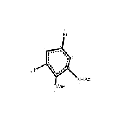 COc1c(F)cc(Br)cc1NC(C)=O